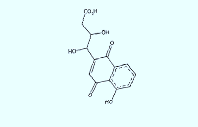 O=C(O)CC(O)C(O)C1=CC(=O)c2c(O)cccc2C1=O